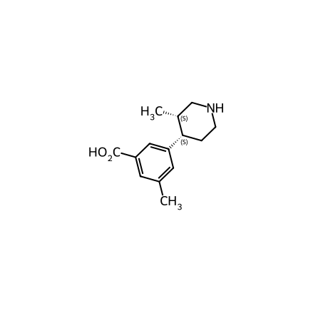 Cc1cc(C(=O)O)cc([C@H]2CCNC[C@H]2C)c1